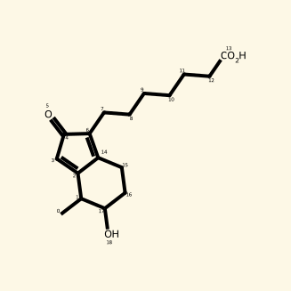 CC1C2=CC(=O)C(CCCCCCC(=O)O)=C2CCC1O